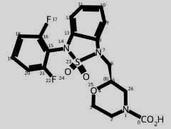 O=C(O)N1CCO[C@@H](CN2c3ccccc3N(c3c(F)cccc3F)S2(=O)=O)C1